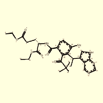 CCOC(=O)CC[C@H](NC(=O)c1ccc(S)c(C(C)c2c[nH]c3ncncc23)c1C(=O)C(C)(C)C)C(=O)OCC